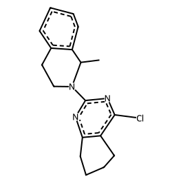 CC1c2ccccc2CCN1c1nc(Cl)c2c(n1)CCCC2